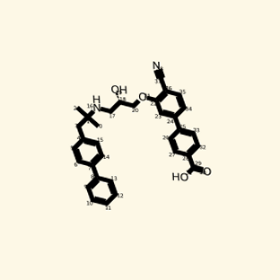 CC(C)(Cc1ccc(-c2ccccc2)cc1)NC[C@H](O)COc1cc(-c2ccc(C(=O)O)cc2)ccc1C#N